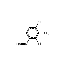 N=Nc1ccc(Cl)c(C(F)(F)F)c1Cl